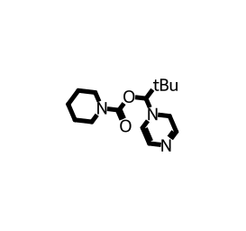 CC(C)(C)C(OC(=O)N1CCCCC1)N1C=CN=CC1